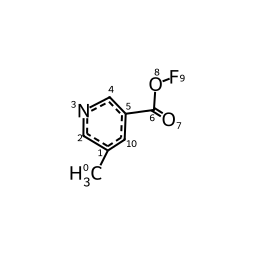 Cc1cncc(C(=O)OF)c1